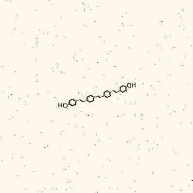 Oc1ccc(C=Cc2ccc(C=Cc3ccc(C=Cc4ccc(O)cc4)cc3)cc2)cc1